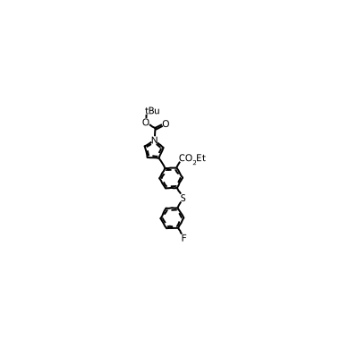 CCOC(=O)c1cc(Sc2cccc(F)c2)ccc1-c1ccn(C(=O)OC(C)(C)C)c1